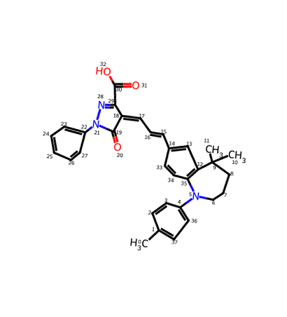 Cc1ccc(N2CCCC(C)(C)c3cc(/C=C/C=C4\C(=O)N(c5ccccc5)N=C4C(=O)O)ccc32)cc1